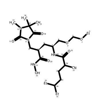 CCOCOC[C@H](C[C@H](CN1C(=O)N(C)C(C)(C)C1=O)C(=O)NO)NC(=O)C(C#N)CCC(CC)CC